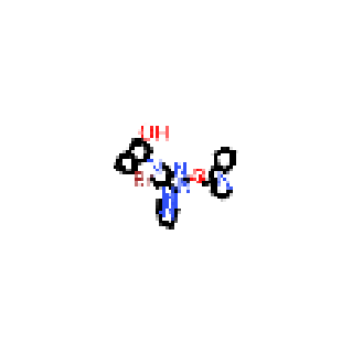 Oc1cc(N2CCc3c(nc(OCC45CCCN4C4CCCCC4C5)nc3N3CC4CCC(C3)N4)C2)c2c(Br)cccc2c1